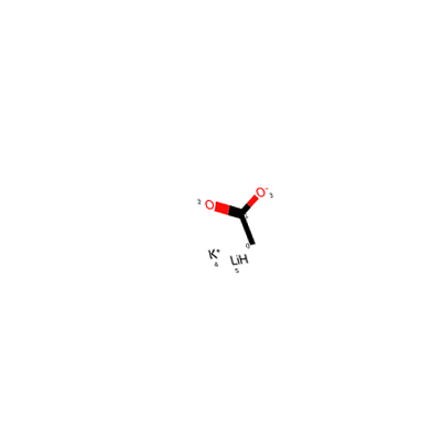 CC(=O)[O-].[K+].[LiH]